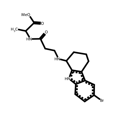 COC(=O)C(C)NC(=O)CCNC1CCCc2c1[nH]c1ccc(Br)cc21